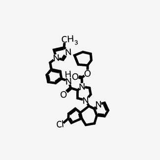 Cc1cn(Cc2cccc(NC(=O)C3CN(C4c5ccc(Cl)cc5CCc5cccnc54)CCN3C(=O)OC3CCCCC3)c2)cn1